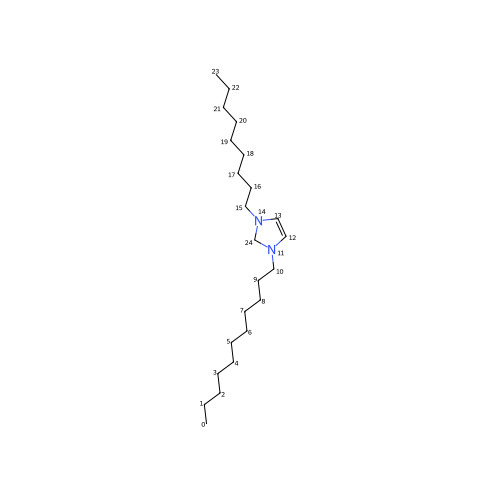 CCCCCCCCCCCN1C=CN(CCCCCCCCC)C1